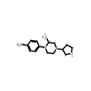 O=[N+]([O-])c1ccc(N2CCN(C3CCOC3)CC2C(F)(F)F)cc1